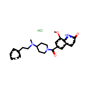 COc1cc(C(=O)N2CCC(N(C)CCc3ccccc3)CC2)cc2ccc(=O)[nH]c12.Cl